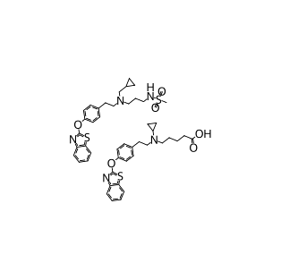 CS(=O)(=O)NCCCN(CCc1ccc(Oc2nc3ccccc3s2)cc1)CC1CC1.O=C(O)CCCCN(CCc1ccc(Oc2nc3ccccc3s2)cc1)C1CC1